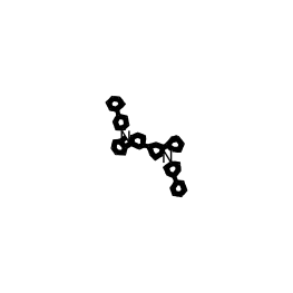 c1ccc2c(c#1)c1cc(-c3ccc4c(c3)c3ccccc3n4-c3ccc(-c4ccccc4)cc3)ccc1n2-c1ccc(-c2ccccc2)cc1